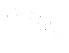 Cc1cc(Nc2cccc3nc(-c4cn(-c5cc(F)c(O)c(F)c5)nn4)ccc23)ccc1Cl